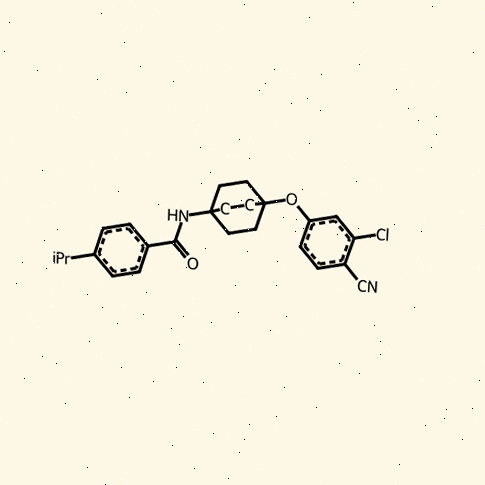 CC(C)c1ccc(C(=O)NC23CCC(Oc4ccc(C#N)c(Cl)c4)(CC2)CC3)cc1